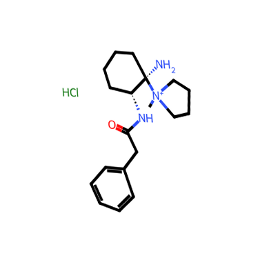 C[N+]1([C@]2(N)CCCC[C@H]2NC(=O)Cc2ccccc2)CCCC1.Cl